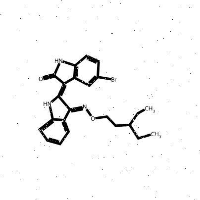 CCC(CC)CCO/N=C1/C(=C2/C(=O)Nc3ccc(Br)cc32)Nc2ccccc21